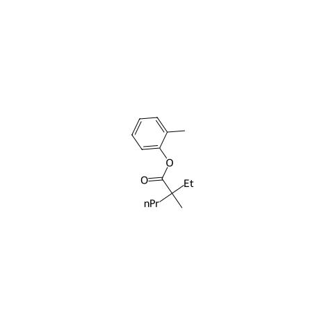 CCCC(C)(CC)C(=O)Oc1ccccc1C